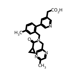 Cc1ccc(-c2cncc(CC(=O)O)c2)c(CN(Cc2cnc(C)cn2)C(=O)C2CC2)c1